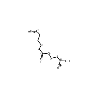 CCCCCCCCCCCC(=O)OCCC(O)O